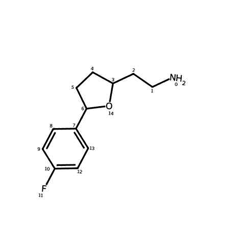 NCCC1CCC(c2ccc(F)cc2)O1